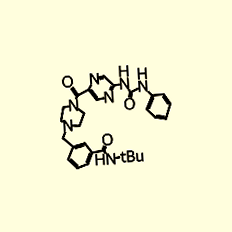 CC(C)(C)NC(=O)c1cccc(CN2CCN(C(=O)c3cnc(NC(=O)Nc4ccccc4)cn3)CC2)c1